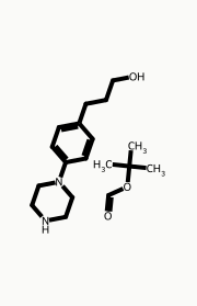 CC(C)(C)OC=O.OCCCc1ccc(N2CCNCC2)cc1